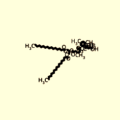 CCCCCCCCCCCCCCCC(=O)OCC(COC(=O)CCCCCCCCCCCCCCC)OC(=O)CC(C)CC(=O)Oc1cc(C)cc(C)c1C(C)(C)CC(=O)O